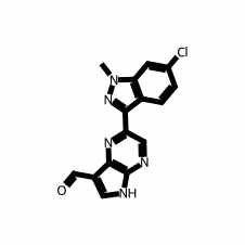 Cn1nc(-c2cnc3[nH]cc([C]=O)c3n2)c2ccc(Cl)cc21